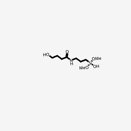 CO[Si](O)(CCCNC(=O)CCCO)OC